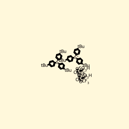 CC(C)(C)c1ccc([S+](c2ccc(C(C)(C)C)cc2)c2ccc(C(C)(C)C)cc2)cc1.CC(C)(C)c1ccc([S+](c2ccc(C(C)(C)C)cc2)c2ccc(C(C)(C)C)cc2)cc1.O=S(=O)([O-])C(F)(C(F)(F)F)S(=O)(=O)O.O=S(=O)([O-])C(F)(C(F)(F)F)S(=O)(=O)O